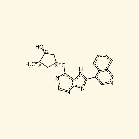 C[C@@H]1C[C@@H](Oc2ncnc3nc(-c4cncc5ccccc45)[nH]c23)C[C@@H]1O